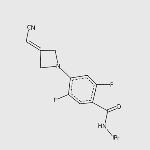 CC(C)NC(=O)c1cc(F)c(N2CC(=CC#N)C2)cc1F